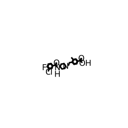 Cc1cc(C(=O)O)ccc1CCN1CCC(NC(=O)c2ccc(F)c(Cl)c2)CC1